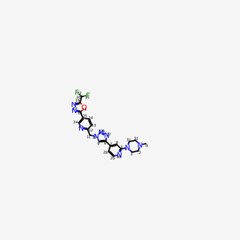 CN1CCN(c2cc(-c3cn(Cc4ccc(-c5nnc(C(F)F)o5)cn4)nn3)ccn2)CC1